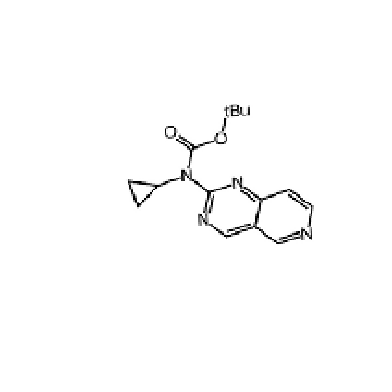 CC(C)(C)OC(=O)N(c1ncc2cnccc2n1)C1CC1